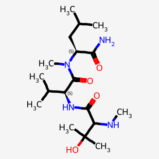 CNC(C(=O)N[C@H](C(=O)N(C)[C@@H](CC(C)C)C(N)=O)C(C)C)C(C)(C)O